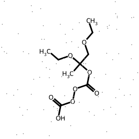 CCOCC(C)(OCC)OC(=O)OOC(=O)O